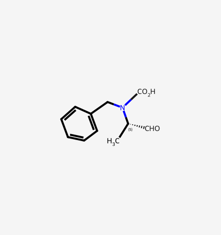 C[C@@H](C=O)N(Cc1ccccc1)C(=O)O